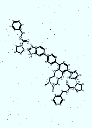 COCCOc1c(-c2ccc(-c3ccc4nc([C@@H]5CCCN5C(=O)OCc5ccccc5)[nH]c4c3)cc2)ccc(-c2cnc([C@@H]3CCCN3C(=O)OCc3ccccc3)[nH]2)c1OCCOC